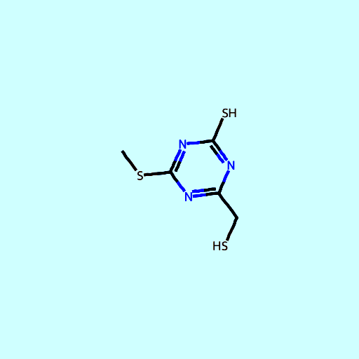 CSc1nc(S)nc(CS)n1